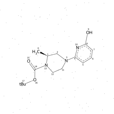 C[C@H]1CN(c2cccc(O)n2)CCN1C(=O)OC(C)(C)C